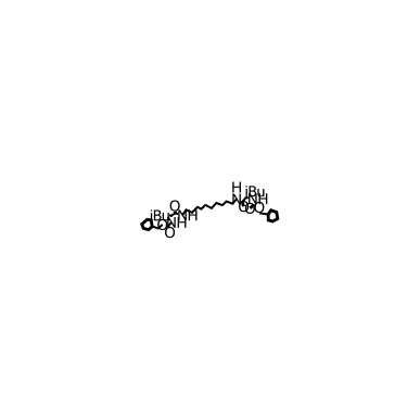 CCC(C)C(NC(=O)OCc1ccccc1)C(=O)NCCCCCCCCCCNC(=O)C(NC(=O)OCc1ccccc1)C(C)CC